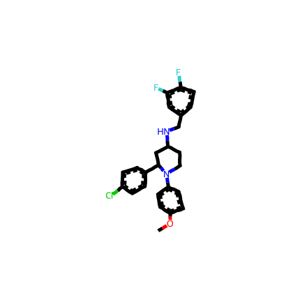 COc1ccc(N2CCC(NCc3ccc(F)c(F)c3)CC2c2ccc(Cl)cc2)cc1